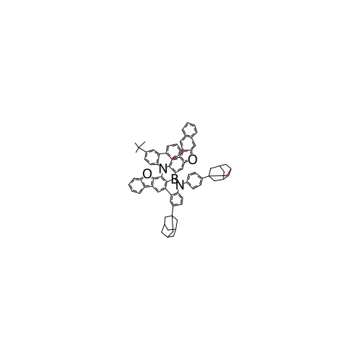 CC(C)(C)c1ccc(N2c3cc4c(cc3B3c5c(cc6c(oc7ccccc76)c52)-c2cc(C56CC7CC(CC(C7)C5)C6)ccc2N3c2ccc(C35CC6CC(CC(C6)C3)C5)cc2)oc2cc3ccccc3cc24)c(-c2ccccc2)c1